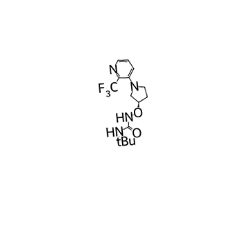 CC(C)(C)NC(=O)NO[C@@H]1CCN(c2cccnc2C(F)(F)F)C1